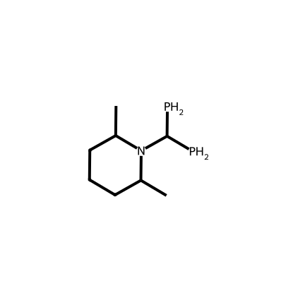 CC1CCCC(C)N1C(P)P